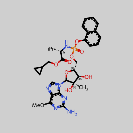 COc1nc(N)nc2c1ncn2C1O[C@H](COP(=O)(N[C@H](C(=O)OCC2CC2)C(C)C)Oc2cccc3ccccc23)[C@@H](O)[C@@]1(C)O